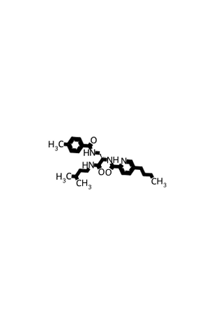 CCCCc1ccc(C(=O)N[C@@H](CNC(=O)c2ccc(C)cc2)C(=O)NCCC(C)C)nc1